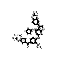 COc1cc(C(=O)C2C[C@@H](OC)[C@H](OC)C2)ccc1Nc1nc(OC2CCCC2)c2c(-c3ccc4nc(C)oc4c3)c[nH]c2n1